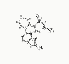 CC1=Cc2c(ccc(-c3ccccc3)c2-c2cc(C(F)(F)F)cc(C(F)(F)F)c2)[CH]1